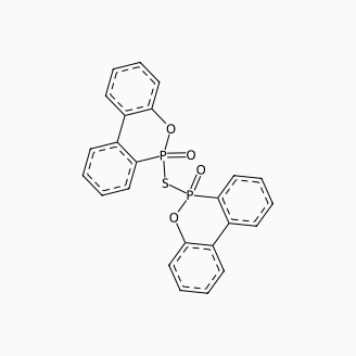 O=P1(SP2(=O)Oc3ccccc3-c3ccccc32)Oc2ccccc2-c2ccccc21